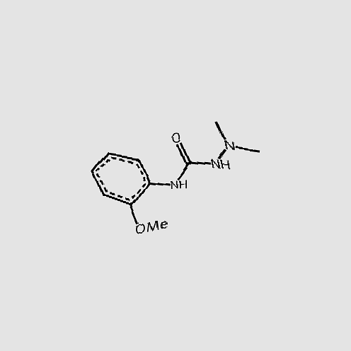 COc1ccccc1NC(=O)NN(C)C